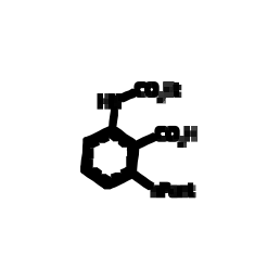 CCCCCc1cccc(NC(=O)OCC)c1C(=O)O